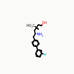 CC(CCO)(C[C@H](N)Cc1ccc(-c2cccc(F)c2)cc1)C(=O)O